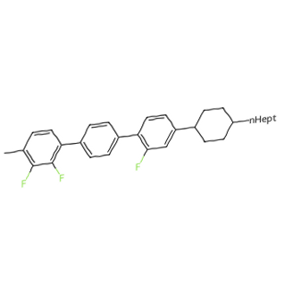 CCCCCCCC1CCC(c2ccc(-c3ccc(-c4ccc(C)c(F)c4F)cc3)c(F)c2)CC1